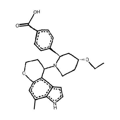 CCO[C@@H]1CCN(C2CCOc3cc(C)c4[nH]ccc4c32)[C@@H](c2ccc(C(=O)O)cc2)C1